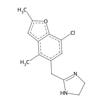 Cc1cc2c(C)c(CC3=NCCN3)cc(Cl)c2o1